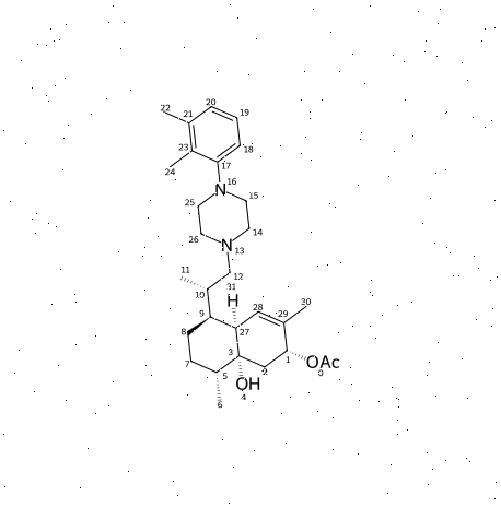 CC(=O)O[C@@H]1[C][C@@]2(O)[C@H](C)CC[C@@H]([C@H](C)CN3CCN(c4cccc(C)c4C)CC3)[C@H]2C=C1C